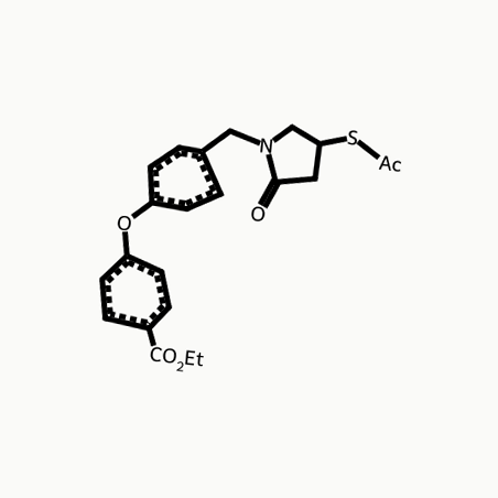 CCOC(=O)c1ccc(Oc2ccc(CN3CC(SC(C)=O)CC3=O)cc2)cc1